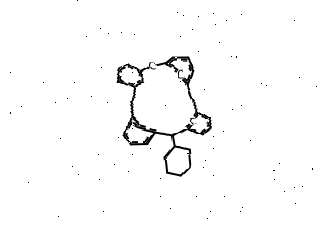 c1cc2cc(c1)Cc1cccc(c1)C(C1CCCCC1)c1cccc(c1)Cc1cccc(c1)C2